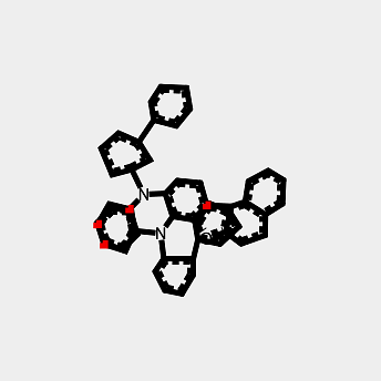 c1ccc(-c2cccc(N(c3ccccc3)c3ccc4c(oc5ccc6ccccc6c54)c3N(c3ccccc3)c3ccccc3-c3ccccc3)c2)cc1